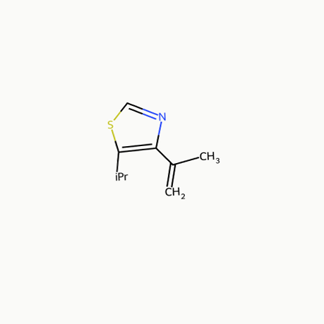 C=C(C)c1ncsc1C(C)C